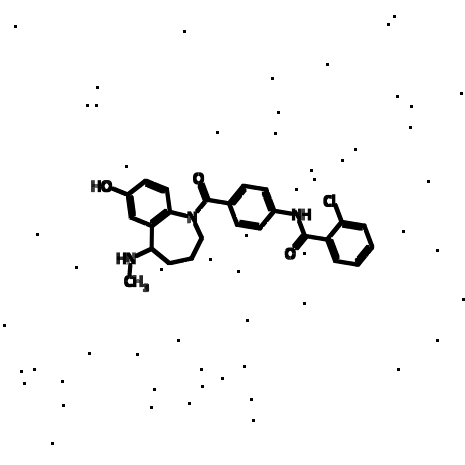 CNC1CCCN(C(=O)c2ccc(NC(=O)c3ccccc3Cl)cc2)c2ccc(O)cc21